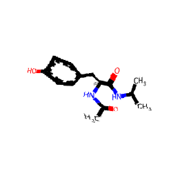 CC(=O)N[C@@H](Cc1ccc(O)cc1)C(=O)NC(C)C